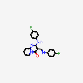 O=c1c(C=Nc2ccc(F)cc2)c(Nc2ccc(F)cc2)nc2ccccn12